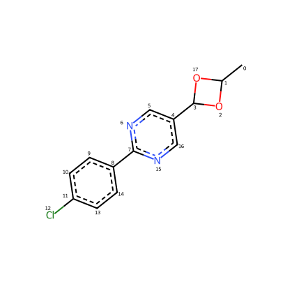 CC1OC(c2cnc(-c3ccc(Cl)cc3)nc2)O1